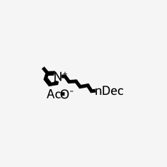 CC(=O)[O-].CCCCCCCCCCCCCCCC[n+]1cccc(C)c1